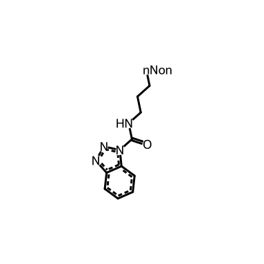 CCCCCCCCCCCCNC(=O)n1nnc2ccccc21